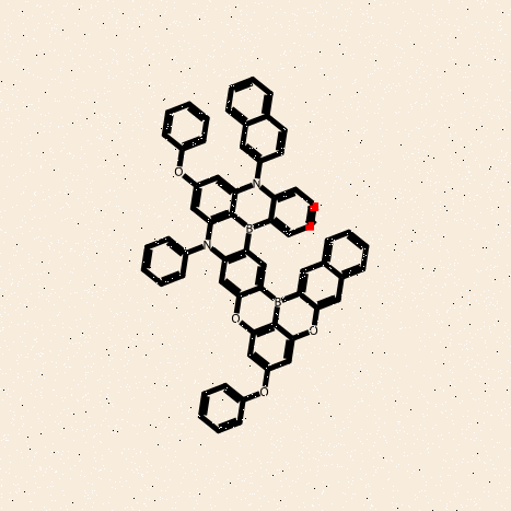 c1ccc(Oc2cc3c4c(c2)Oc2cc5ccccc5cc2B4c2cc4c(cc2O3)N(c2ccccc2)c2cc(Oc3ccccc3)cc3c2B4c2cc4ccccc4cc2N3c2ccc3ccccc3c2)cc1